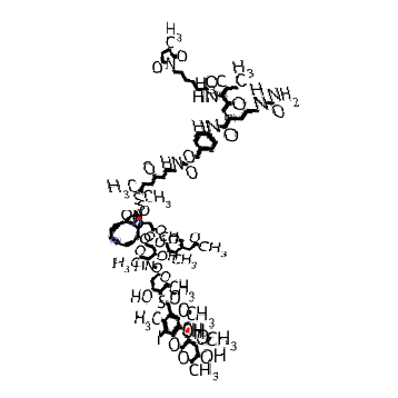 CCC(C)[C@H](NC(=O)CCCCCN1C(=O)CC(C)C1=O)C(=O)C[C@@H](CCCNC(N)=O)C(=O)Nc1ccc(COC(=O)NCCCC(=O)CCC(C)(C)SSC/C=C2/C3=C(CC(=O)OC)C(=O)C[C@@]2(O)C#C/C=C\C#C[C@@H]3OC2OC(C)C(NOC3CC(O)C(SC(=O)c4c(C)c(I)c(OC5OC(C)C(O)C(OC)C5O)c(C)c4OC)C(C)O3)C(O)C2OC2CC(C)C(CC(C)=O)CO2)cc1